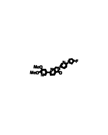 COc1cc(-c2ccc3c(n2)CN(c2ccc(N4CC[C@@H](F)C4)nc2)C3=O)cnc1OC